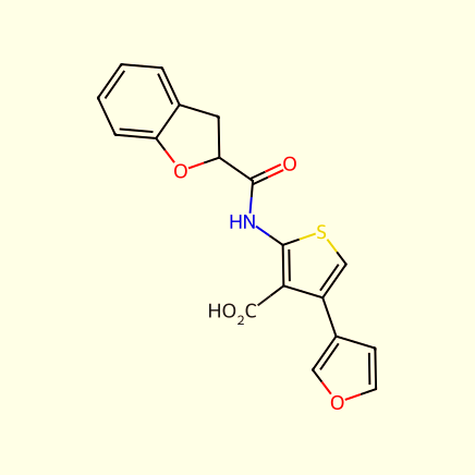 O=C(O)c1c(-c2ccoc2)csc1NC(=O)C1Cc2ccccc2O1